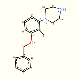 Cc1c(OCc2ccccc2)cccc1N1CCNCC1